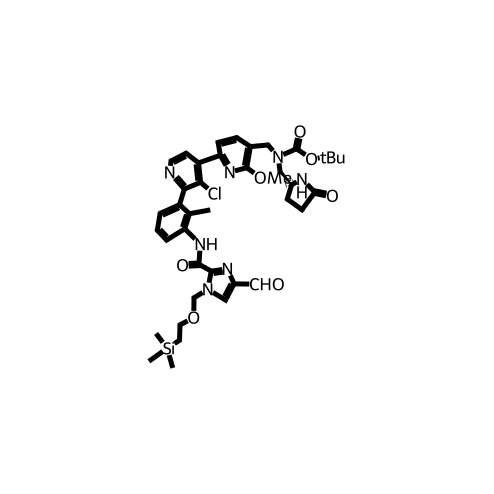 COc1nc(-c2ccnc(-c3cccc(NC(=O)c4nc(C=O)cn4COCC[Si](C)(C)C)c3C)c2Cl)ccc1CN(C[C@@H]1CCC(=O)N1)C(=O)OC(C)(C)C